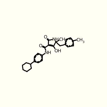 Cc1ccc(CC2(C)NC(=O)C(C(=O)Nc3ccc(C4CCCCC4)cc3)=C2O)cc1